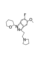 COc1cc2c(CCN3CCCC3)nn(C3CCCCO3)c2cc1F